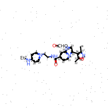 CCNc1cc[n+](CCNC(=O)c2ccn3c(-c4c(C)noc4C)cnc3c2)cc1.O=C[O-]